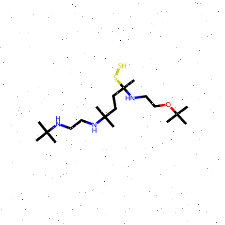 CC(C)(C)NCCNC(C)(C)CCC(C)(NCCOC(C)(C)C)SS